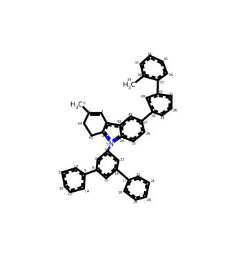 CC1=Cc2c(n(-c3cc(-c4ccccc4)cc(-c4ccccc4)c3)c3ccc(-c4cccc(-c5ccccc5C)c4)cc23)CC1